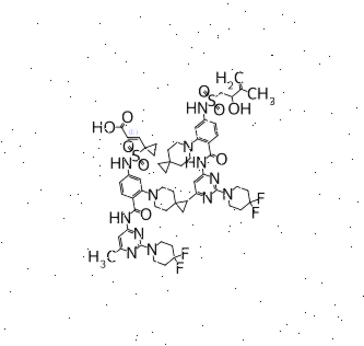 C=C(C)C(O)CS(=O)(=O)Nc1ccc(C(=O)Nc2cc(C3CC34CCN(c3cc(NS(=O)(=O)C5(/C=C/C(=O)O)CC5)ccc3C(=O)Nc3cc(C)nc(N5CCC(F)(F)CC5)n3)CC4)nc(N3CCC(F)(F)CC3)n2)c(N2CCC3(CC2)CC3)c1